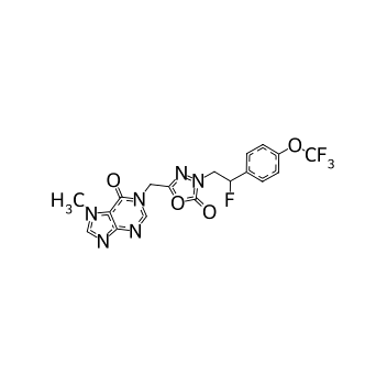 Cn1cnc2ncn(Cc3nn(CC(F)c4ccc(OC(F)(F)F)cc4)c(=O)o3)c(=O)c21